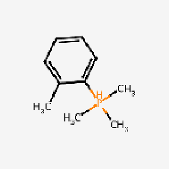 Cc1ccccc1[PH](C)(C)C